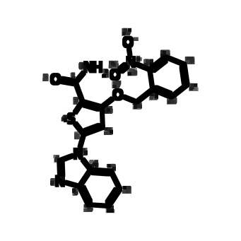 NC(=O)c1sc(-n2cnc3ccccc32)cc1OCc1ccccc1[N+](=O)[O-]